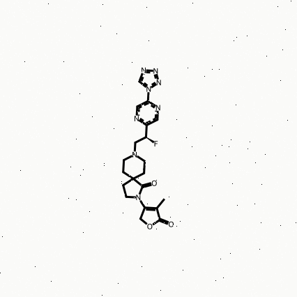 CC1=C(N2CCC3(CCN(C[C@H](F)c4cnc(-n5cnnn5)cn4)CC3)C2=O)COC1=O